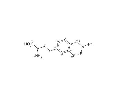 NC(CCc1ccc(OC(F)F)c(F)c1)C(=O)O